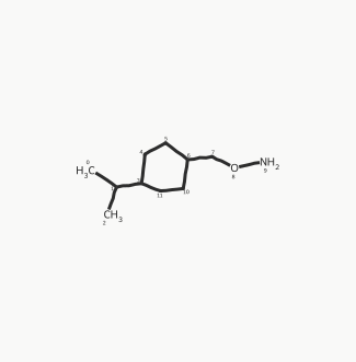 CC(C)C1CCC(CON)CC1